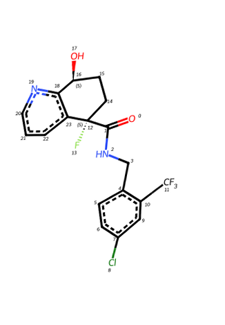 O=C(NCc1ccc(Cl)cc1C(F)(F)F)[C@]1(F)CC[C@H](O)c2ncccc21